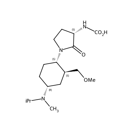 COC[C@H]1C[C@H](N(C)C(C)C)CC[C@@H]1N1CC[C@H](NC(=O)O)C1=O